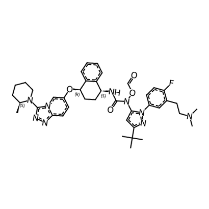 C[C@H]1CCCCN1c1nnc2ccc(O[C@@H]3CC[C@H](NC(=O)N(OC=O)c4cc(C(C)(C)C)nn4-c4ccc(F)c(CCN(C)C)c4)c4ccccc43)cn12